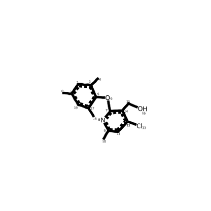 Cc1cc(C)c(Oc2nc(C)cc(Cl)c2CO)c(C)c1